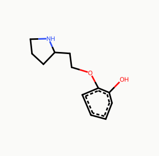 Oc1ccccc1OCCC1CCCN1